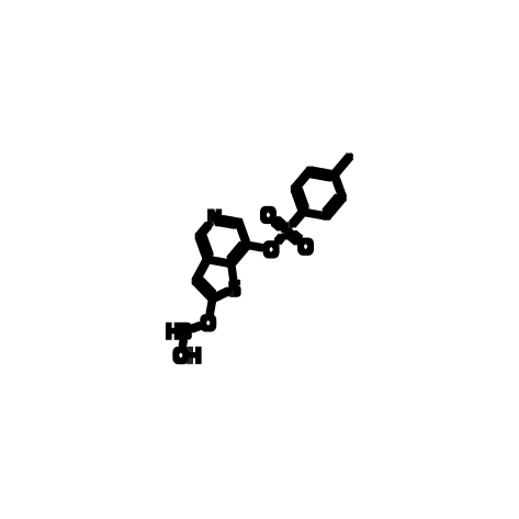 Cc1ccc(S(=O)(=O)Oc2cncc3cc(OBO)sc23)cc1